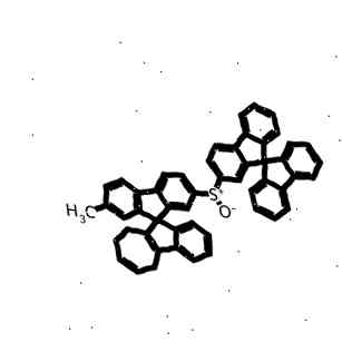 Cc1ccc2c(c1)C1(C3=C(CC=CCC3)c3ccccc31)c1cc([S+]([O-])c3ccc4c(c3)C3(c5ccccc5-c5ccccc53)c3ccccc3-4)ccc1-2